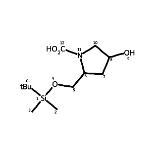 CC(C)(C)[Si](C)(C)OCC1CC(O)CN1C(=O)O